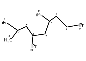 CC(C)CCC(CC(CC(C)C(C)C)C(C)C)C(C)C